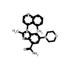 Cc1cccc2nccc(-n3c(C)nc4c(C(N)=O)cc(N5CCOCC5)cc43)c12